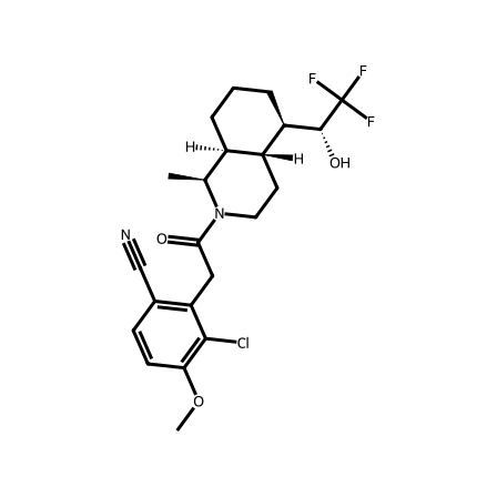 COc1ccc(C#N)c(CC(=O)N2CC[C@H]3[C@H]([C@@H](O)C(F)(F)F)CCC[C@@H]3[C@@H]2C)c1Cl